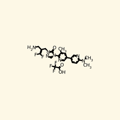 Cc1cc(-c2ccc(N(C)C)nc2)cnc1-n1cnn(CC(CN)=C(F)F)c1=O.O=C(O)C(F)(F)F